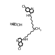 CN(CCCCCCNc1ccnc2cc(Cl)ccc12)CCCCCCNc1ccnc2cc(Cl)ccc12.Cl.Cl.Cl